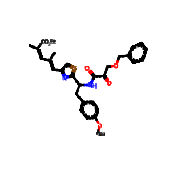 CCCCOc1ccc(C[C@H](NC(=O)C(=O)COCc2ccccc2)c2nc(/C=C(C)/C=C(/C)C(=O)OCC)cs2)cc1